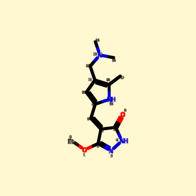 CCOC1=NNC(=O)C1=Cc1cc(CN(C)C)c(C)[nH]1